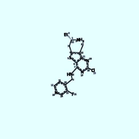 CC[C@H](N)Cc1sc2c(NCc3ccncc3F)nc(Cl)nc2c1C